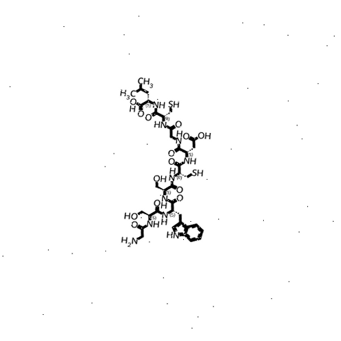 CC(C)C[C@H](NC(=O)[C@H](CS)NC(=O)CNC(=O)[C@H](CC(=O)O)NC(=O)[C@H](CS)NC(=O)[C@H](CO)NC(=O)[C@H](Cc1c[nH]c2ccccc12)NC(=O)[C@H](CO)NC(=O)CN)C(=O)O